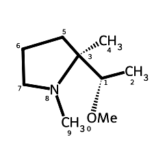 CO[C@@H](C)[C@]1(C)CCCN1C